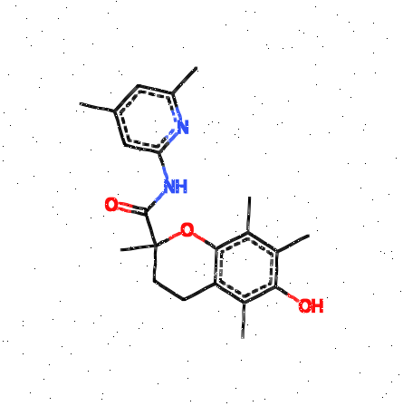 Cc1cc(C)nc(NC(=O)C2(C)CCc3c(C)c(O)c(C)c(C)c3O2)c1